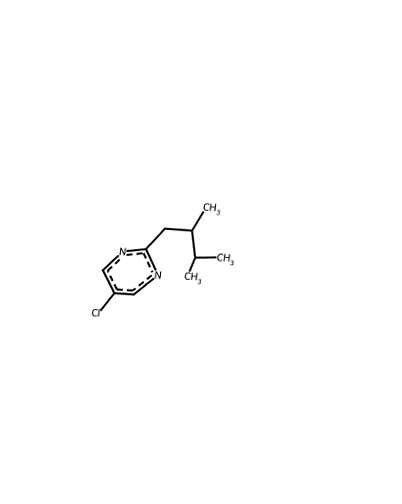 CC(C)C(C)Cc1ncc(Cl)cn1